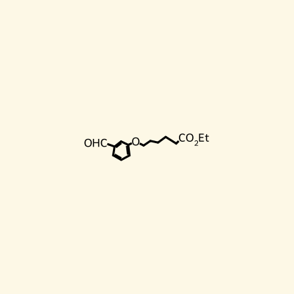 CCOC(=O)CCCCCOc1cccc(C=O)c1